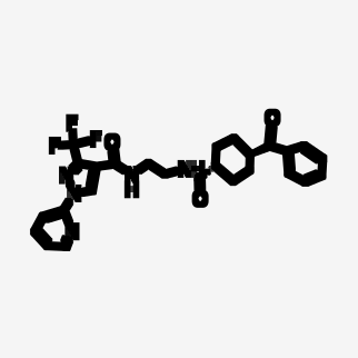 O=C(NCCNC(=O)[C@H]1CC[C@H](C(=O)c2ccccc2)CC1)c1cn(-c2ccccn2)nc1C(F)(F)F